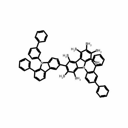 Bc1c(B)c(B)c2c(c1B)c1c(B)c(-c3ccc4c(c3)c3cccc(-c5ccccc5)c3n4-c3cccc(-c4ccccc4)c3)c(B)c(B)c1n2-c1ccc(-c2ccccc2)cc1-c1ccccc1